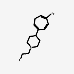 CC(C)C1=CCC=C(C2CCN(CCF)CC2)C=C1